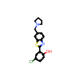 Oc1ccc(Cl)cc1-c1nc2ccc(CN3CCCC3)cc2s1